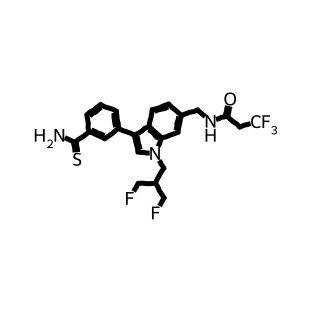 NC(=S)c1cccc(-c2cn(CC(CF)CF)c3cc(CNC(=O)CC(F)(F)F)ccc23)c1